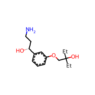 CCC(O)(CC)COc1cccc([C@H](O)CCN)c1